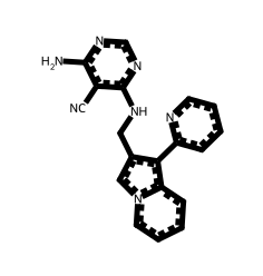 N#Cc1c(N)ncnc1NCc1cn2ccccc2c1-c1ccccn1